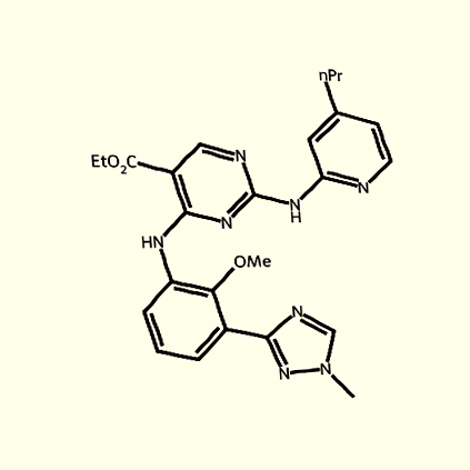 CCCc1ccnc(Nc2ncc(C(=O)OCC)c(Nc3cccc(-c4ncn(C)n4)c3OC)n2)c1